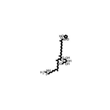 C\C(=C/C=C/C=C/C=C/C=C/C(C)C(OC1OC(CO)C(O)C(O)C1O)/C(C)=C/C(C)CCC/C=C/C(C)C/C=C/CCCN(C)C(=N)N)C(=O)NC1=C(O)CCC1=O